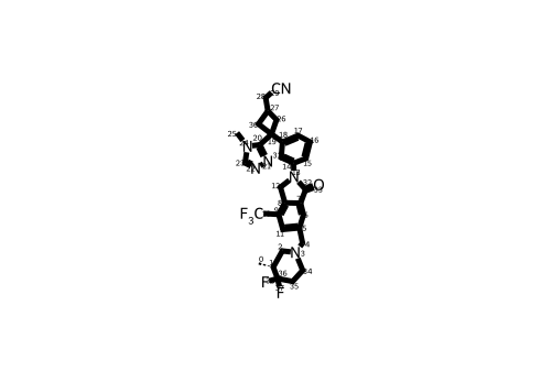 C[C@@H]1CN(Cc2cc3c(c(C(F)(F)F)c2)CN(c2cccc(C4(c5nncn5C)CC(CC#N)C4)c2)C3=O)CCC1(F)F